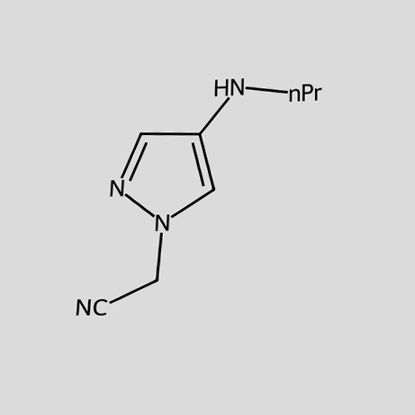 CCCNc1cnn(CC#N)c1